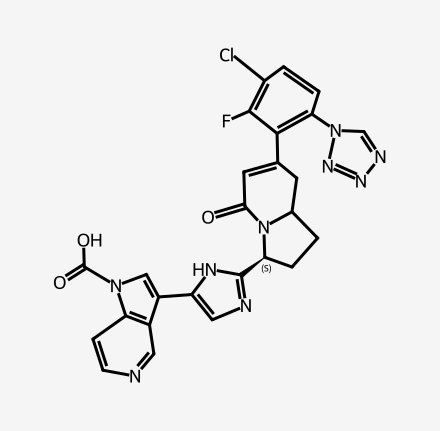 O=C1C=C(c2c(-n3cnnn3)ccc(Cl)c2F)CC2CC[C@@H](c3ncc(-c4cn(C(=O)O)c5ccncc45)[nH]3)N12